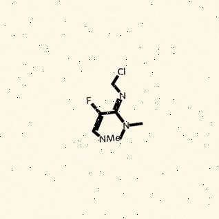 CN/C=C(F)\C(=N/CCl)N(C)C